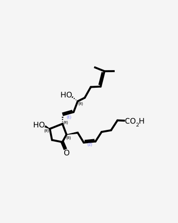 CC(C)=CCC[C@@H](O)/C=C/[C@H]1[C@H](O)CC(=O)[C@@H]1C/C=C\CCCC(=O)O